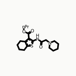 CCCOC(=O)c1c(NC(=O)CN2CCCCC2)sc2c1CCCC2